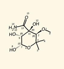 CO[C@H]1C(C)(C)O[C@H](O)[C@H](O)[C@]1(O)C(N)=O